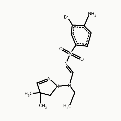 CCN(C=NS(=O)(=O)c1ccc(N)c(Br)c1)N1CC(C)(C)C=N1